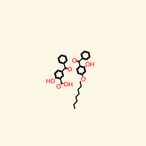 CCCCCCCCOc1ccc(C(=O)c2ccccc2)c(O)c1.O=C(c1ccccc1)c1ccc(O)c(C(=O)O)c1